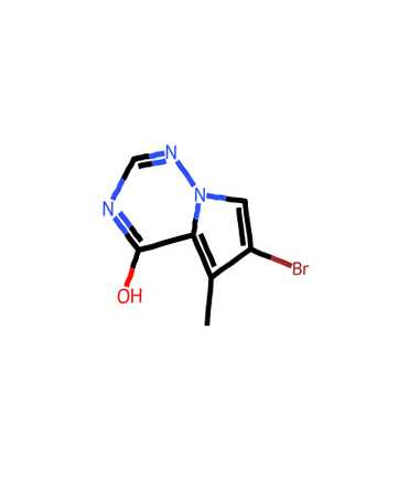 Cc1c(Br)cn2ncnc(O)c12